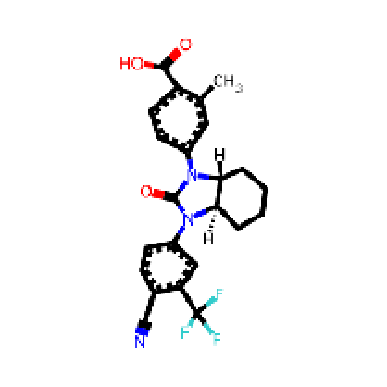 Cc1cc(N2C(=O)N(c3ccc(C#N)c(C(F)(F)F)c3)[C@@H]3CCCC[C@H]32)ccc1C(=O)O